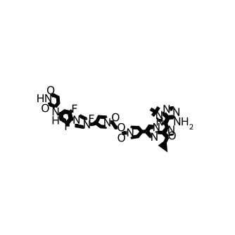 CC(C)(C)n1nc(-c2noc(C3CC3)c2-c2ncc(C3CCN(C(=O)OCC(=O)N4CCC(F)(CN5CCN(c6c(F)cc(NC7CCC(=O)NC7=O)cc6F)CC5)CC4)CC3)cn2)c2c(N)ncnc21